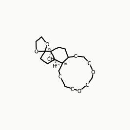 C[C@]12CCC3CCCOCCOCCCC[C@H]3C1CCC21OCCO1